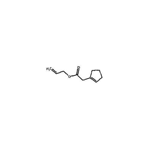 C=CCOC(=O)CC1=CCCC1